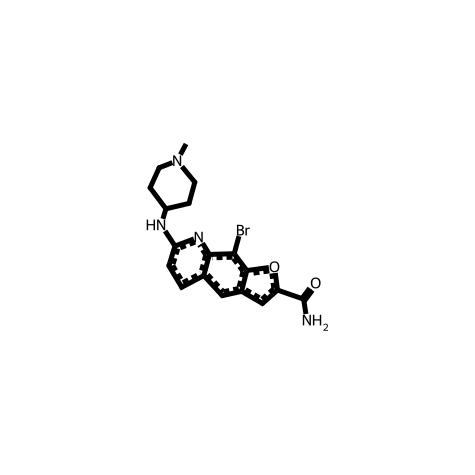 CN1CCC(Nc2ccc3cc4cc(C(N)=O)oc4c(Br)c3n2)CC1